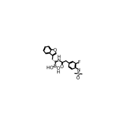 CS(C)(=O)=Nc1ccc(CC(=O)N[C@@H](Cc2coc3ccccc23)B(O)O)cc1F